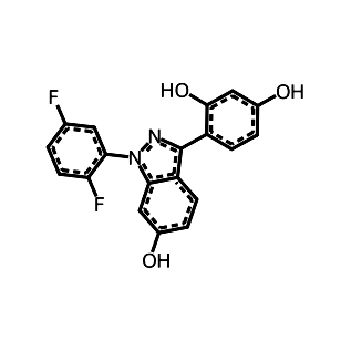 Oc1ccc(-c2nn(-c3cc(F)ccc3F)c3cc(O)ccc23)c(O)c1